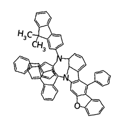 CC1(C)c2ccccc2-c2ccc(N(c3cccc(-c4ccccc4)c3)C3C=CC=C4c5c(cc6oc7ccccc7c6c5-c5ccccc5)N(c5cc6ccccc6c6ccccc56)C43)cc21